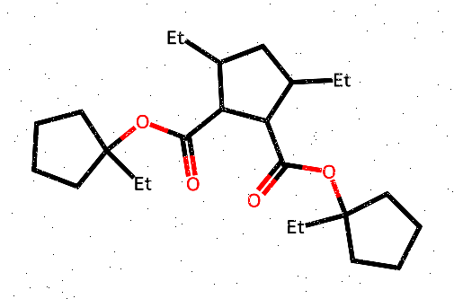 CCC1CC(CC)C(C(=O)OC2(CC)CCCC2)C1C(=O)OC1(CC)CCCC1